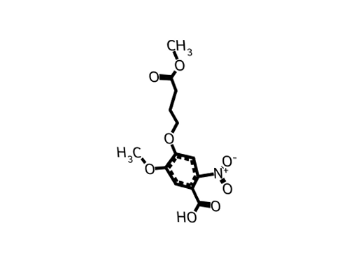 COC(=O)CCCOc1cc([N+](=O)[O-])c(C(=O)O)cc1OC